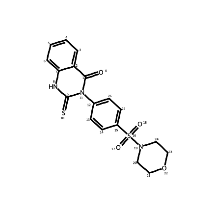 O=c1c2ccccc2[nH]c(=S)n1-c1ccc(S(=O)(=O)N2CCOCC2)cc1